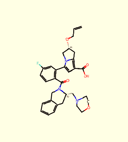 C=CCO[C@@H]1Cc2c(C(=O)O)cc(-c3cc(F)ccc3C(=O)N3Cc4ccccc4C[C@H]3CN3CCOCC3)n2C1